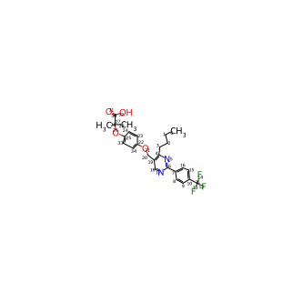 CCCCc1nc(-c2ccc(C(F)(F)F)cc2)ncc1COc1ccc(OC(C)(C)C(=O)O)cc1